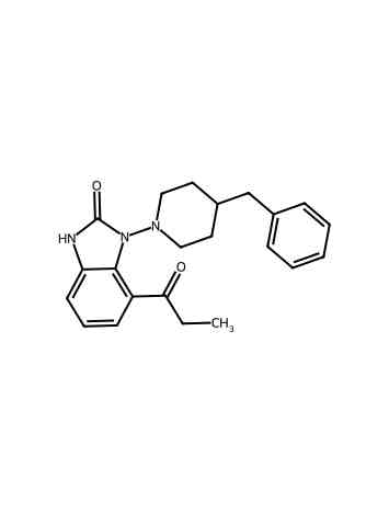 CCC(=O)c1cccc2[nH]c(=O)n(N3CCC(Cc4ccccc4)CC3)c12